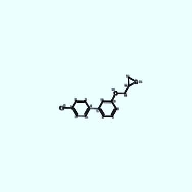 Clc1ccc(-c2cccc(OCC3CO3)c2)cc1